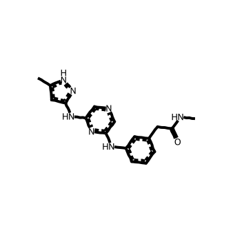 CNC(=O)Cc1cccc(Nc2cncc(Nc3cc(C)[nH]n3)n2)c1